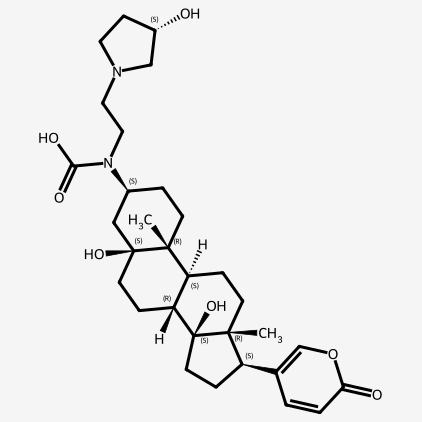 C[C@]12CC[C@H](N(CCN3CC[C@H](O)C3)C(=O)O)C[C@@]1(O)CC[C@@H]1[C@@H]2CC[C@]2(C)[C@@H](c3ccc(=O)oc3)CC[C@]12O